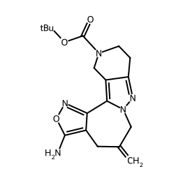 C=C1Cc2c(noc2N)-c2c3c(nn2C1)CCN(C(=O)OC(C)(C)C)C3